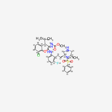 COC(=O)N[C@H](C(=O)Nc1cccc(F)c1CC[C@H]1CNC[C@@H](C)N1S(=O)(=O)c1ccccc1)C(c1cccc(Cl)c1)C(C)C